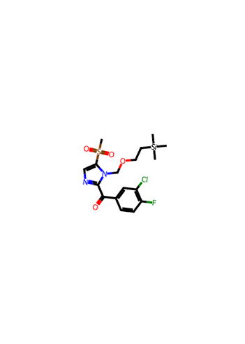 C[Si](C)(C)CCOCn1c(S(C)(=O)=O)cnc1C(=O)c1ccc(F)c(Cl)c1